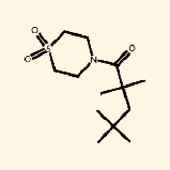 CC(C)(C)CC(C)(C)C(=O)N1CCS(=O)(=O)CC1